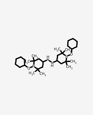 CC1(C)CC(NNC2CC(C)(C)N(OC3CCCCC3)C(C)(C)C2)CC(C)(C)N1OC1CCCCC1